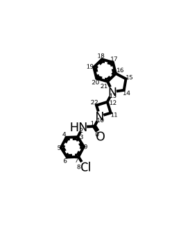 O=C(Nc1cccc(Cl)c1)N1CC(N2CCc3ccccc32)C1